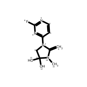 C=C1N(c2ccnc(F)n2)CC(O)(O)N1C